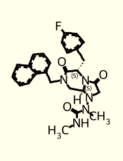 CNC(=O)N(C)N1CC(=O)N2[C@@H](Cc3ccc(F)cc3)C(=O)N(Cc3cccc4ccccc34)C[C@@H]21